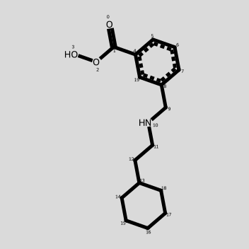 O=C(OO)c1cccc(CNCCC2CCCCC2)c1